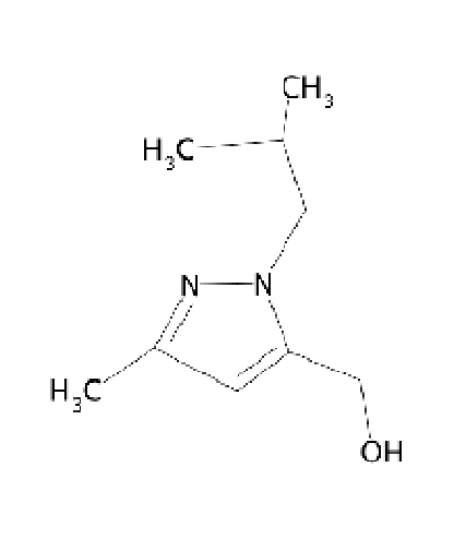 Cc1cc(CO)n(CC(C)C)n1